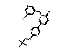 Cc1cncc(Cn2nc(-c3cnc(OCC(F)(F)F)nc3)ccc2=O)c1